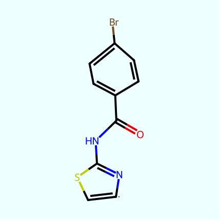 O=C(Nc1n[c]cs1)c1ccc(Br)cc1